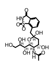 CC(=O)N[C@H]1[C@H]([C@H](O)[C@H](O)CO)O[C@](O)(Cc2cccc3c2S(=O)(=O)NC3=O)C[C@@H]1O